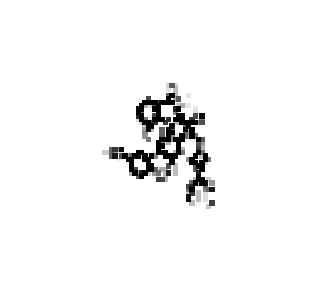 C=CC(=O)N1CC(Cn2c(=O)c(=O)n(-c3c(C)cccc3C(C)C)c3cc(-c4cc(O)ccc4Cl)c(Cl)cc32)C1